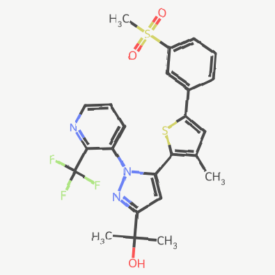 Cc1cc(-c2cccc(S(C)(=O)=O)c2)sc1-c1cc(C(C)(C)O)nn1-c1cccnc1C(F)(F)F